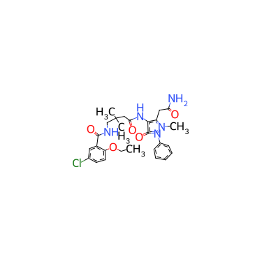 CCOc1ccc(Cl)cc1C(=O)NCC(C)(C)CC(=O)Nc1c(CC(N)=O)n(C)n(-c2ccccc2)c1=O